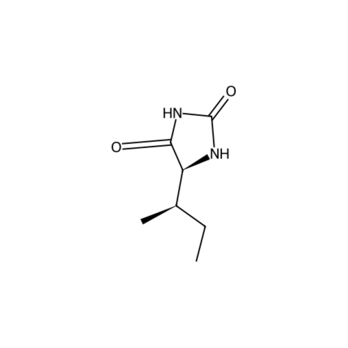 CC[C@@H](C)[C@@H]1NC(=O)NC1=O